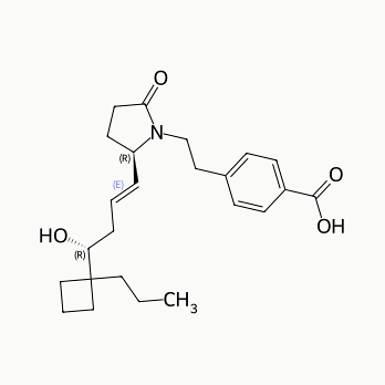 CCCC1([C@H](O)C/C=C/[C@H]2CCC(=O)N2CCc2ccc(C(=O)O)cc2)CCC1